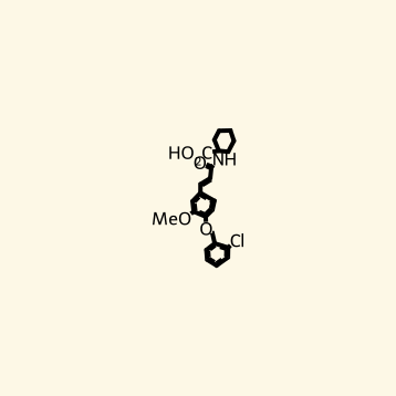 COc1cc(C=CC(=O)NC2(C(=O)O)CCCCC2)ccc1OCc1ccccc1Cl